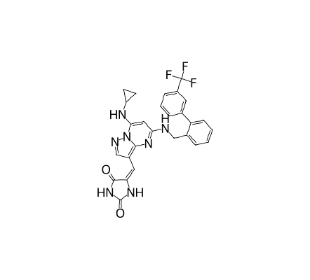 O=C1NC(=O)/C(=C\c2cnn3c(NC4CC4)cc(NCc4ccccc4-c4cccc(C(F)(F)F)c4)nc23)N1